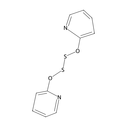 c1ccc(OSSOc2ccccn2)nc1